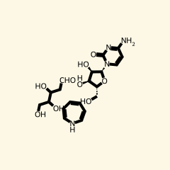 C1=CC=CNC=C1.Nc1ccn([C@@H]2O[C@H](CO)[C@@H](O)[C@H]2O)c(=O)n1.O=CCC(O)C(O)CO